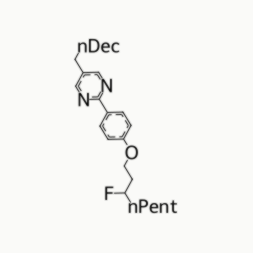 CCCCCCCCCCCc1cnc(-c2ccc(OCCC(F)CCCCC)cc2)nc1